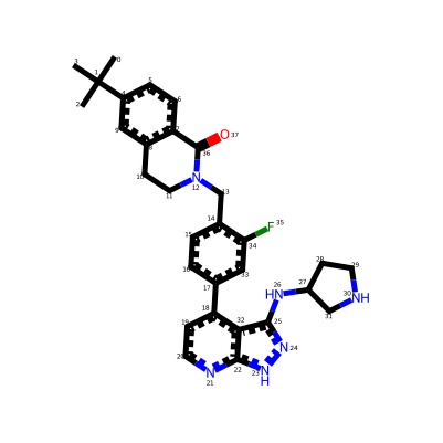 CC(C)(C)c1ccc2c(c1)CCN(Cc1ccc(-c3ccnc4[nH]nc(NC5CCNC5)c34)cc1F)C2=O